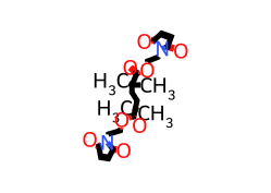 CC(C)(CCC(C)(C)C(=O)OCCN1C(=O)C=CC1=O)C(=O)OCCN1C(=O)C=CC1=O